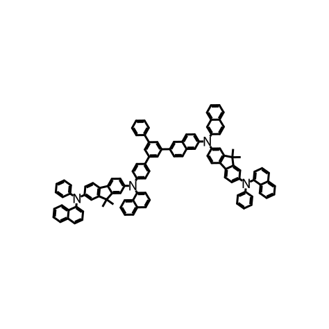 CC1(C)c2cc(N(c3ccc4ccccc4c3)c3ccc4cc(-c5cc(-c6ccccc6)cc(-c6ccc(N(c7ccc8c(c7)C(C)(C)c7cc(N(c9ccccc9)c9cccc%10ccccc9%10)ccc7-8)c7cccc8ccccc78)cc6)c5)ccc4c3)ccc2-c2ccc(N(c3ccccc3)c3cccc4ccccc34)cc21